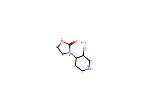 Cl.O=C1OCCN1C1CCNCC1O